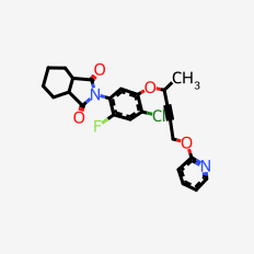 CC(C#CCOc1ccccn1)Oc1cc(N2C(=O)C3CCCCC3C2=O)c(F)cc1Cl